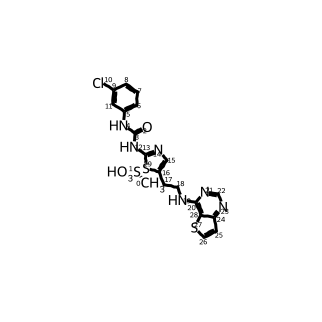 CS(=O)(=O)O.O=C(Nc1cccc(Cl)c1)Nc1ncc(CCNc2ncnc3ccsc23)s1